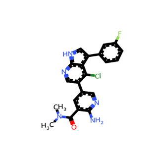 CN(C)C(=O)c1cc(-c2cnc3[nH]cc(-c4cccc(F)c4)c3c2Cl)cnc1N